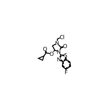 O=C(OC1CN(CCl)C(=O)N1c1nc2cc(F)ccc2s1)C1CC1